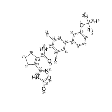 [2H]C([2H])([2H])Oc1cccc(-c2cc(F)c(NC(=O)C3=C(c4noc(=O)[nH]4)CCC3)c(F)c2)c1